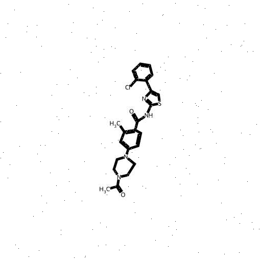 CC(=O)N1CCN(c2ccc(C(=O)Nc3nc(-c4ccccc4Cl)cs3)c(C)c2)CC1